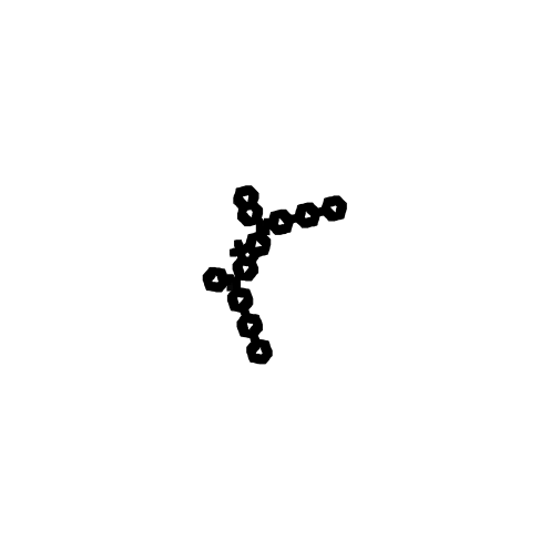 CC1(C)c2cc(N(c3ccccc3)c3ccc(-c4ccc(-c5ccccc5)cc4)cc3)ccc2-c2ccc(N(c3ccc(-c4ccc(-c5ccccc5)cc4)cc3)c3ccc4ccccc4c3)cc21